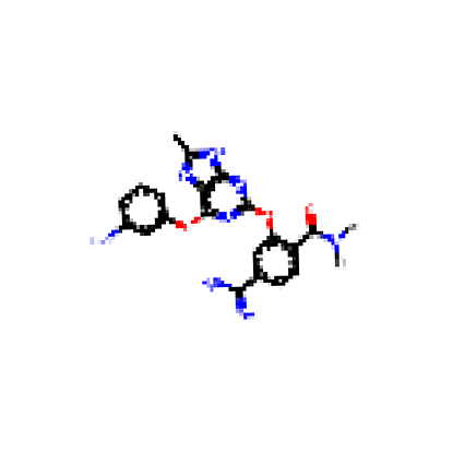 CCN(CC)C(=O)c1ccc(C(=N)N)cc1Oc1nc(Oc2cccc(N)c2)c2nc(C)[nH]c2n1